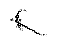 CCCCCCCCCCCCCCCCCCCCCCCCCCc1cccc(C2=CC(CCCC)=C(c3ccc(CCCCCCCCCCCCCC)cc3)[N+]2=[N-])c1.C[CH2][Pd][CH2]C